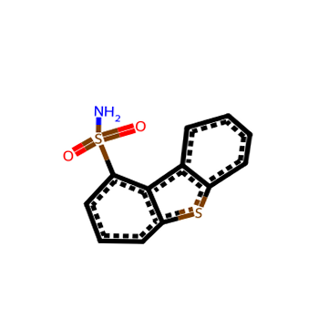 NS(=O)(=O)c1cccc2sc3ccccc3c12